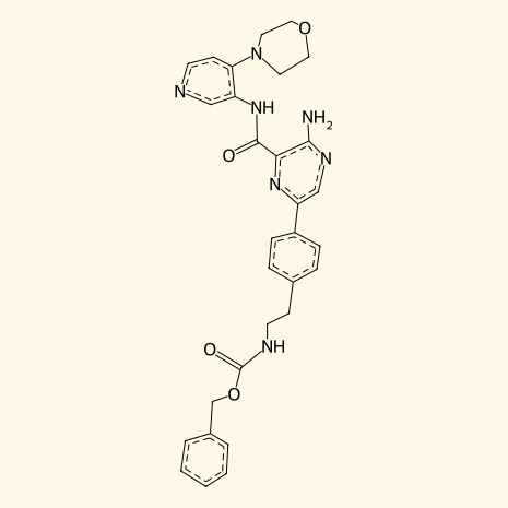 Nc1ncc(-c2ccc(CCNC(=O)OCc3ccccc3)cc2)nc1C(=O)Nc1cnccc1N1CCOCC1